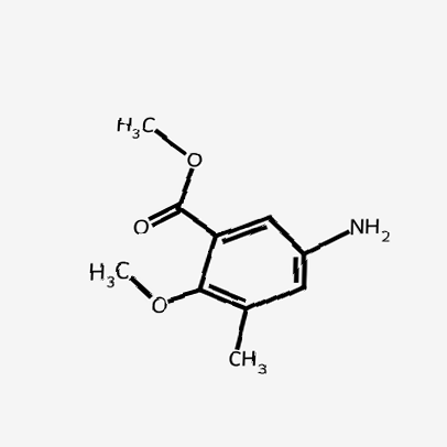 COC(=O)c1cc(N)cc(C)c1OC